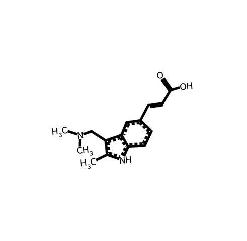 Cc1[nH]c2ccc(/C=C/C(=O)O)cc2c1CN(C)C